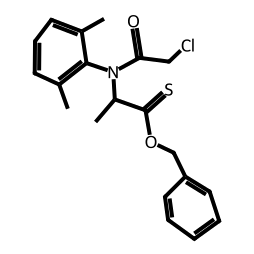 Cc1cccc(C)c1N(C(=O)CCl)C(C)C(=S)OCc1ccccc1